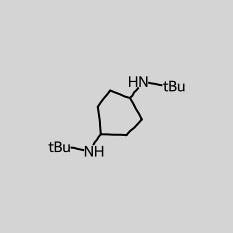 CC(C)(C)NC1CCC(NC(C)(C)C)CC1